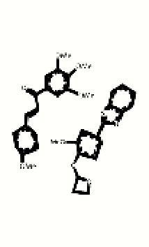 COc1cc(-c2nc3ccccc3s2)ccc1OC1CCO1.COc1ccc(C=CC(=O)c2cc(OC)c(OC)c(OC)c2)cc1